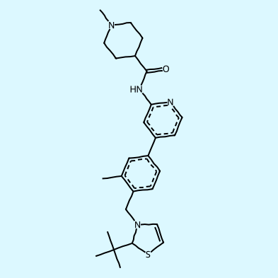 Cc1cc(-c2ccnc(NC(=O)C3CCN(C)CC3)c2)ccc1CN1C=CSC1C(C)(C)C